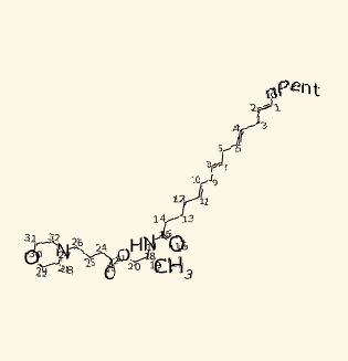 CCCCC/C=C/C/C=C/C/C=C/C/C=C/CCCC(=O)N[C@H](C)COC(=O)CCCN1CCOCC1